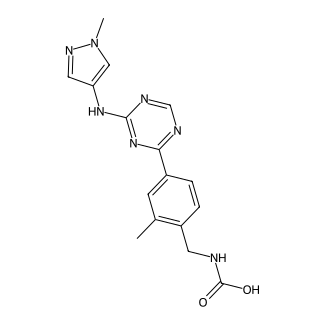 Cc1cc(-c2ncnc(Nc3cnn(C)c3)n2)ccc1CNC(=O)O